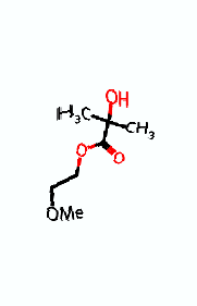 COCCOC(=O)C(C)(C)O